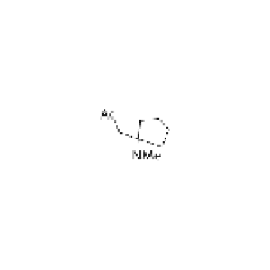 CNC1(CC(C)=O)CCCC1